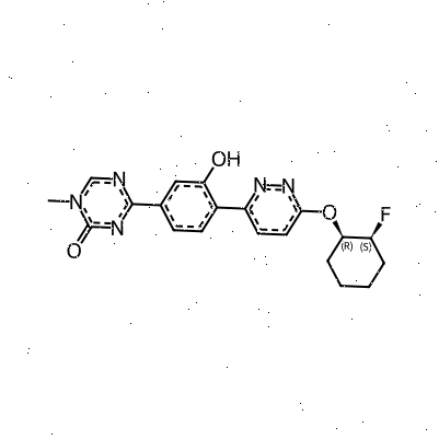 Cn1cnc(-c2ccc(-c3ccc(O[C@@H]4CCCC[C@@H]4F)nn3)c(O)c2)nc1=O